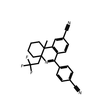 CC12CCCCC1(CC(F)(F)F)N=C(c1ccc(C#N)cc1)c1ccc(C#N)cc12